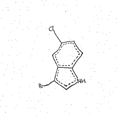 Clc1ccc2[nH]cc(Br)c2c1